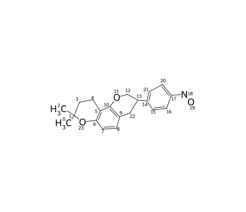 CC1(C)CCc2c(ccc3c2OCC(c2ccc(N=O)cc2)C3)O1